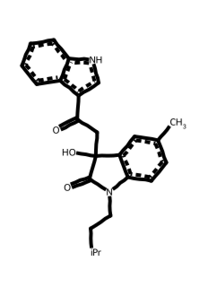 Cc1ccc2c(c1)C(O)(CC(=O)c1c[nH]c3ccccc13)C(=O)N2CCC(C)C